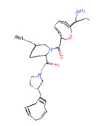 CNC1CC(C(=O)N2CCC(c3ccccc3)C2)N(C(=O)c2ccc(C(C)N)o2)C1